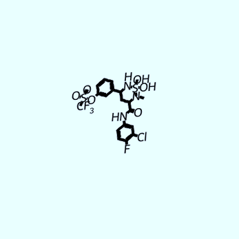 CN1C(C(=O)Nc2ccc(F)c(Cl)c2)CC(c2cccc(OS(=O)(=O)C(F)(F)F)c2)NS1(O)O